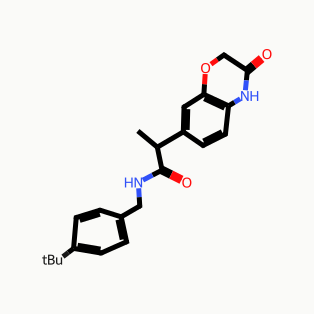 CC(C(=O)NCc1ccc(C(C)(C)C)cc1)c1ccc2c(c1)OCC(=O)N2